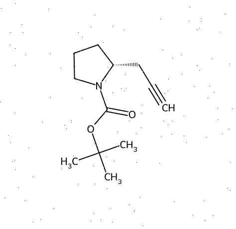 C#CC[C@H]1CCCN1C(=O)OC(C)(C)C